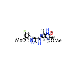 COc1cc(F)ccc1Cn1cc(CNc2cc3c(c(C)n2)NC(=O)[C@H]([C@@H](C)OC)N3C)cn1